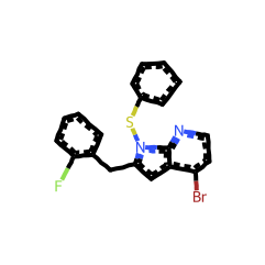 Fc1ccccc1Cc1cc2c(Br)ccnc2n1Sc1ccccc1